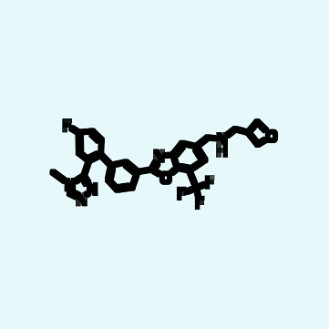 Cn1cnnc1-c1cc(F)ccc1-c1cccc(-c2nc3cc(CNCC4COC4)cc(C(F)(F)F)c3o2)c1